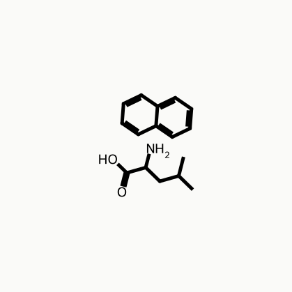 CC(C)CC(N)C(=O)O.c1ccc2ccccc2c1